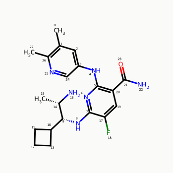 Cc1cc(Nc2nc(N[C@H](C3CCC3)[C@H](C)N)c(F)cc2C(N)=O)cnc1C